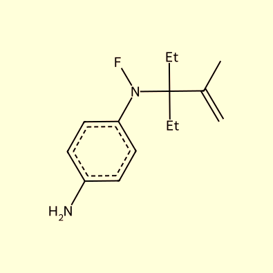 C=C(C)C(CC)(CC)N(F)c1ccc(N)cc1